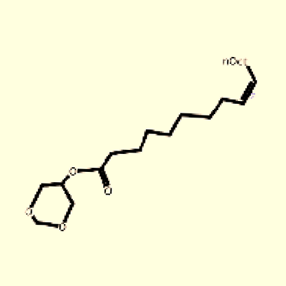 CCCCCCCC/C=C\CCCCCCCC(=O)OC1COCOC1